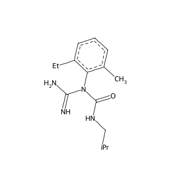 CCc1cccc(C)c1N(C(=N)N)C(=O)NCC(C)C